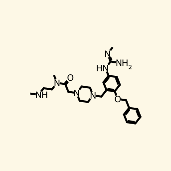 C/N=C(\N)Nc1ccc(OCc2ccccc2)c(CN2CCN(CC(=O)N(C)CCNC)CC2)c1